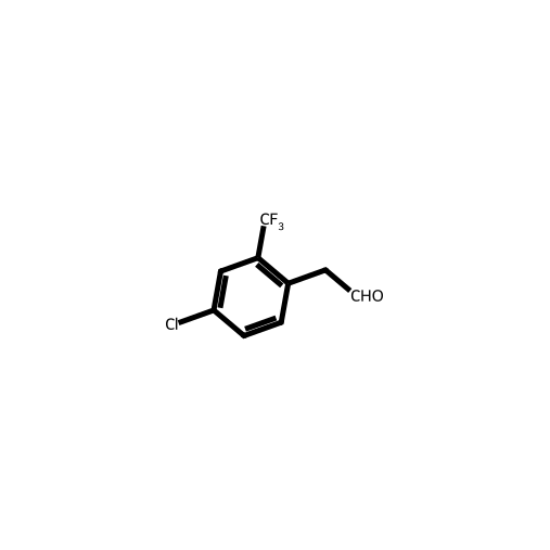 O=CCc1ccc(Cl)cc1C(F)(F)F